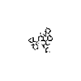 Cc1cc(N(c2cccc3c2C(C)(C)c2ccccc2-3)c2c(C)cc(C(C)(C)C)cc2C)cc(N2c3ccccc3C3(C)CCCCC23C)c1